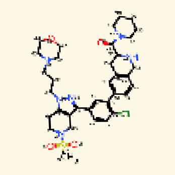 CS(=O)(=O)N1CCc2c(c(-c3ccc(Cl)c(-c4ccc5c(c4)CC(C(=O)N4CCCCC4)NC5)c3)nn2CCCN2CCOCC2)C1